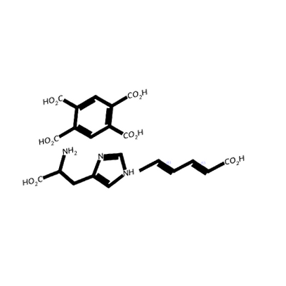 C/C=C/C=C/C(=O)O.NC(Cc1c[nH]cn1)C(=O)O.O=C(O)c1cc(C(=O)O)c(C(=O)O)cc1C(=O)O